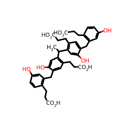 CC(c1cc(O)c(Cc2cc(O)ccc2CCC(=O)O)cc1CCC(=O)O)c1cc(O)c(Cc2cc(O)ccc2CCC(=O)O)cc1CCC(=O)O